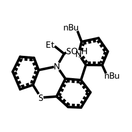 CCCCc1ccc(CCCC)c(-c2cccc3c2N(C(CC)S(=O)(=O)O)c2ccccc2S3)n1